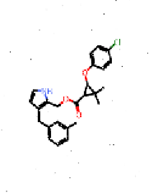 Cc1cccc(Cc2cc[nH]c2COC(=O)C2C(Oc3ccc(Cl)cc3)C2(C)C)c1